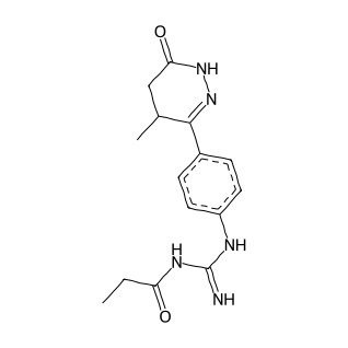 CCC(=O)NC(=N)Nc1ccc(C2=NNC(=O)CC2C)cc1